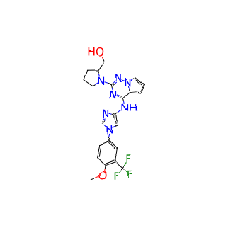 COc1ccc(-n2cnc(Nc3nc(N4CCCC4CO)nn4cccc34)c2)cc1C(F)(F)F